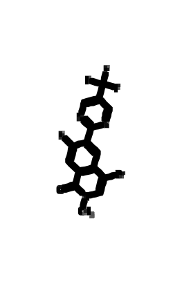 Cn1cc(Br)c2cc(-c3ncc(C(F)(F)F)cn3)c(F)cc2c1=O